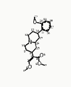 COC=C(C(=O)OC)C1CCN2CCC(c3ccccc3OC)CC2C1